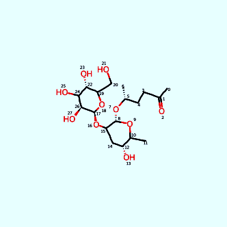 CC(=O)CC[C@@H](C)O[C@@H]1OC(C)[C@H](O)CC1O[C@@H]1OC(CO)[C@@H](O)C(O)[C@@H]1O